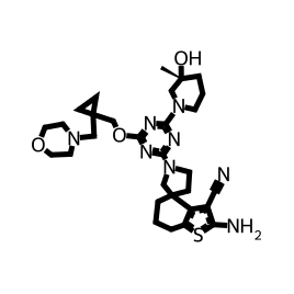 C[C@@]1(O)CCCN(c2nc(OCC3(CN4CCOCC4)CC3)nc(N3CCC4(CCCc5sc(N)c(C#N)c54)C3)n2)C1